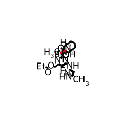 CCC(=O)OCc1nc(N(C)[C@@H]2C[C@H]3CCC[C@@H](C2)N3S(=O)(=O)CC)nc(Nc2cc(C)[nH]n2)c1F